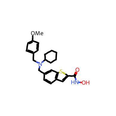 COc1ccc(CN(Cc2ccc3cc(C(=O)NO)sc3c2)C2CCCCC2)cc1